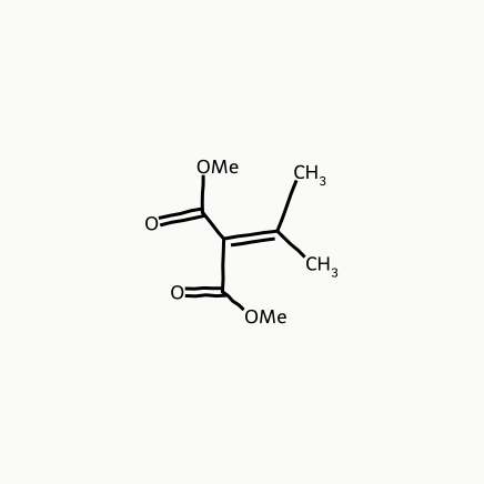 COC(=O)C(C(=O)OC)=C(C)C